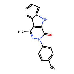 Cc1ccc(-n2nc(C)c3c([nH]c4ccccc43)c2=O)cc1